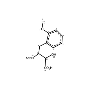 CCOc1ccccc1CC(NC(C)=O)C(O)C(=O)O